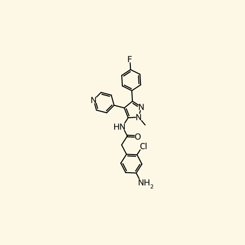 Cn1nc(-c2ccc(F)cc2)c(-c2ccncc2)c1NC(=O)Cc1ccc(N)cc1Cl